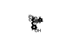 CC(C)OC(=O)C(Cc1ccc(O)cc1)NC(=O)[C@@H]1CCCN1